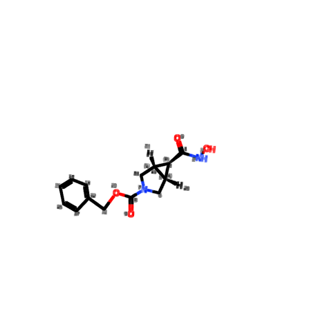 O=C(NO)[C@H]1[C@@H]2CN(C(=O)OCc3ccccc3)C[C@@H]21